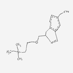 C[Si](C)(C)CCOCC1N=Cc2cc(C#N)ccc21